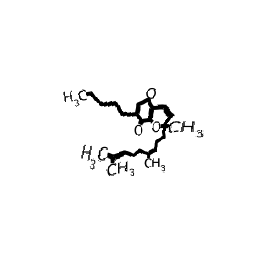 CCCCCC1=CC(=O)C2=C(OC(C)(CCC=C(C)CCC=C(C)C)C=C2)C1=O